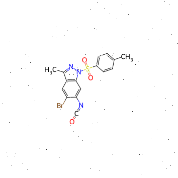 Cc1ccc(S(=O)(=O)n2nc(C)c3cc(Br)c(N=C=O)cc32)cc1